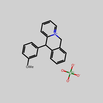 COc1cccc(C2c3ccccc3C[n+]3ccccc32)c1.[O-][Cl+3]([O-])([O-])[O-]